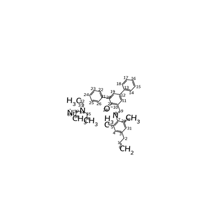 C=CCc1cc(C)c(N=Cc2cc(-c3ccccc3)cc(-c3ccccc3)c2[O-])c(C)c1.CCN(CC)CC.[Ni+]